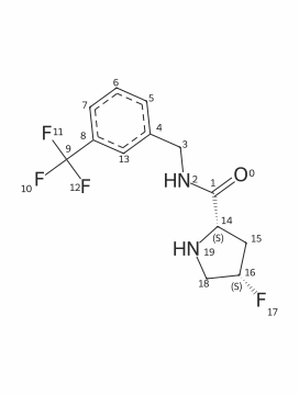 O=C(NCc1cccc(C(F)(F)F)c1)[C@@H]1C[C@H](F)CN1